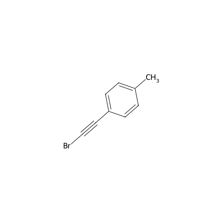 Cc1ccc(C#CBr)cc1